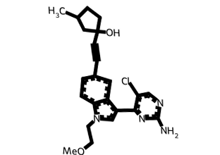 COCCn1cc(-c2nc(N)ncc2Cl)c2cc(C#CC3(O)CCC(C)C3)ccc21